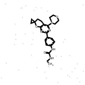 CCNC(=O)Nc1ccc(-c2nc3c(c(N4CCOCC4)n2)CCC2(CC2)O3)cc1